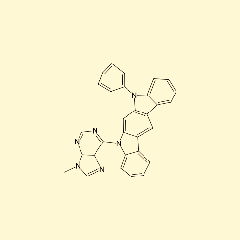 CN1C=NC2C(n3c4ccccc4c4cc5c6ccccc6n(-c6ccccc6)c5cc43)=NC=NC21